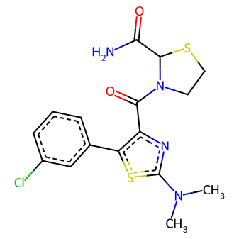 CN(C)c1nc(C(=O)N2CCSC2C(N)=O)c(-c2cccc(Cl)c2)s1